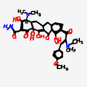 COc1ccc(CC(C(=O)c2ccc3c(c2O)C(=O)C2=C(O)C4(O)C(=O)C(C(N)=O)=C(O)[C@@H](N(C)C)C4CC2C3)N(C)C)cc1